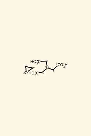 C1CO1.O=C(O)CN(CC(=O)O)CC(=O)O